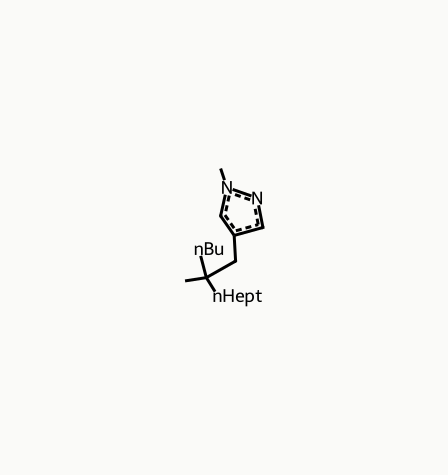 CCCCCCCC(C)(CCCC)Cc1cnn(C)c1